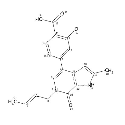 CC=CCn1cc(-c2cc(Cl)c(C(=O)O)cn2)c2cc(C)[nH]c2c1=O